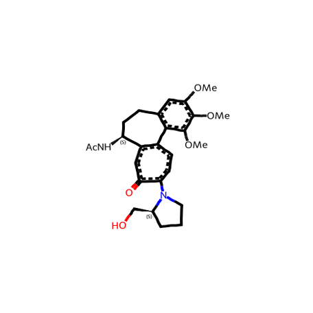 COc1cc2c(c(OC)c1OC)-c1ccc(N3CCC[C@H]3CO)c(=O)cc1[C@@H](NC(C)=O)CC2